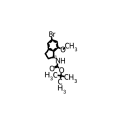 COc1cc(Br)cc2c1[C@H](NC(=O)OC(C)(C)C)CC2